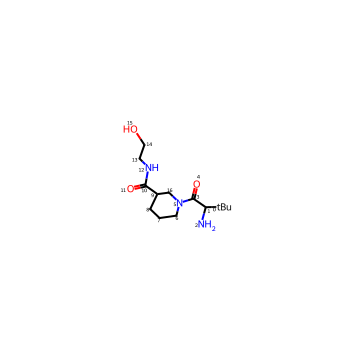 CC(C)(C)C(N)C(=O)N1CCCC(C(=O)NCCO)C1